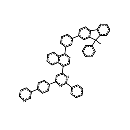 CC1(c2ccccc2)c2ccccc2-c2ccc(-c3cccc(-c4ccc(-c5cc(-c6ccc(-c7cccnc7)cc6)nc(-c6ccccc6)n5)c5ccccc45)c3)cc21